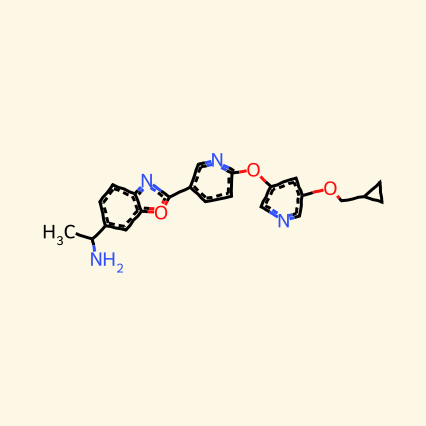 CC(N)c1ccc2nc(-c3ccc(Oc4cncc(OCC5CC5)c4)nc3)oc2c1